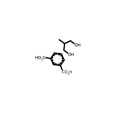 CC(CO)CO.O=C(O)c1cccc(C(=O)O)c1